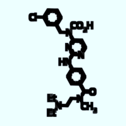 CCN(CC)CCN(C)C(=O)c1ccc(Nc2nccc(N(Cc3cccc(Cl)c3)C(=O)O)n2)cc1